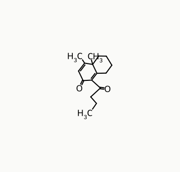 CCCC(=O)C1=C2CCCCC2(C)C(C)=CC1=O